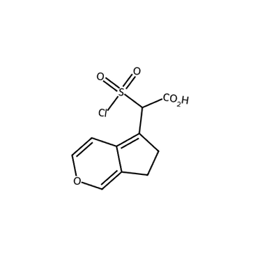 O=C(O)C(C1=C2C=COC=C2CC1)S(=O)(=O)Cl